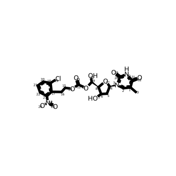 Cc1cn([C@H]2CC(O)[C@@H](C(O)OC(=O)OCCc3c(Cl)cccc3[N+](=O)[O-])O2)c(=O)[nH]c1=O